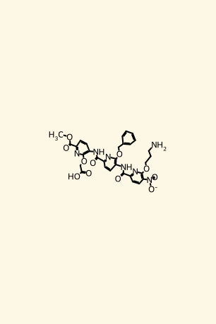 COC(=O)c1ccc(NC(=O)c2ccc(NC(=O)c3ccc([N+](=O)[O-])c(OCCCN)n3)c(OCc3ccccc3)n2)c(OCC(=O)O)n1